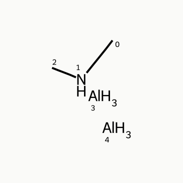 CNC.[AlH3].[AlH3]